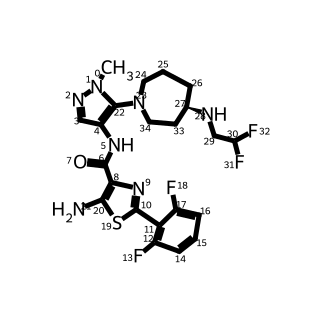 Cn1ncc(NC(=O)c2nc(-c3c(F)cccc3F)sc2N)c1N1CCC[C@@H](NCC(F)F)CC1